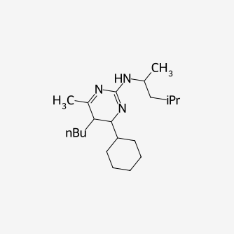 CCCCC1C(C)=NC(NC(C)CC(C)C)=NC1C1CCCCC1